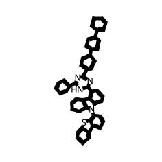 C1=Cc2c(n(-c3cccc4c3sc3ccccc34)c3cccc(C4N=C(c5ccc(-c6ccc(-c7ccccc7)cc6)cc5)N=C(c5ccccc5)N4)c23)CC1